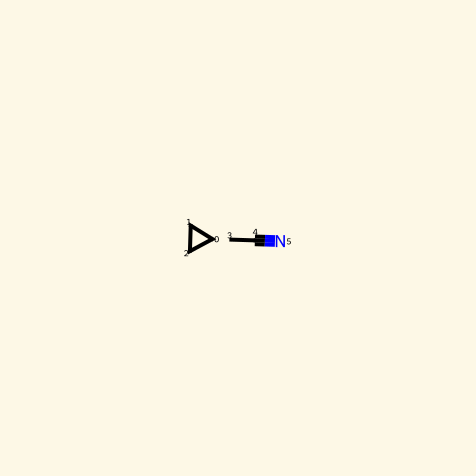 C1CC1.CC#N